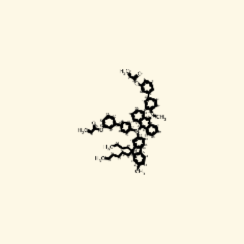 C=CC(=O)Oc1cccc(-c2ccc(N(C)c3c4ccccc4c(N(c4ccc(-c5cccc(OC(=O)C=C)c5)cc4)c4ccc5c(c4)C(CCCC)(CCCCCC)c4cc(C)ccc4-5)c4ccccc34)cc2)c1